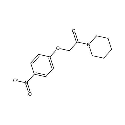 O=C(COc1ccc([N+](=O)[O-])cc1)N1CCCCC1